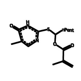 C=C(C)C(=O)OC(CCCCC)Sc1ncc(C)c(=O)[nH]1